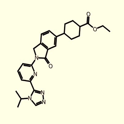 CCOC(=O)C1CCC(c2ccc3c(c2)C(=O)N(c2cccc(-c4nncn4C(C)C)n2)C3)CC1